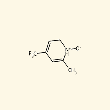 CC1=CC(C(F)(F)F)=CC[NH+]1[O-]